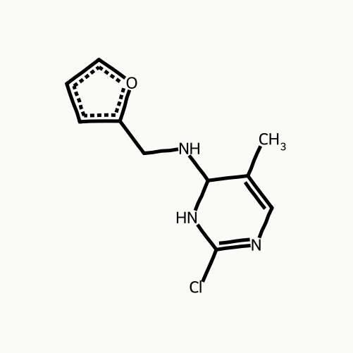 CC1=CN=C(Cl)NC1NCc1ccco1